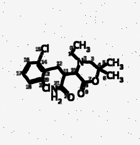 CCN1CC(C)(C)OC(=O)C1C(Cc1c(Cl)cccc1Cl)C(N)=O